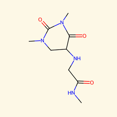 CNC(=O)CNC1CN(C)C(=O)N(C)C1=O